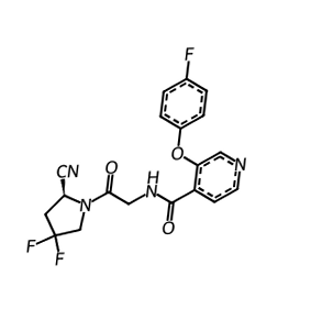 N#C[C@@H]1CC(F)(F)CN1C(=O)CNC(=O)c1ccncc1Oc1ccc(F)cc1